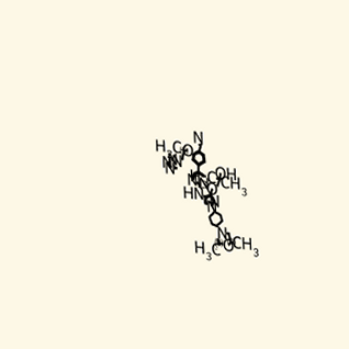 C[C@@H]1CN([C@H]2CC[C@H](n3cc(Nc4ncc(-c5ccc(C#N)c(O[C@@H](C)Cn6cnnn6)c5)cn4)c(OCC(C)(C)O)n3)CC2)C[C@H](C)O1